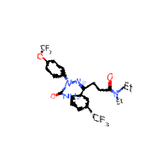 CCN(CC)C(=O)CC/C(=N/N(C(N)=O)c1ccc(OC(F)(F)F)cc1)c1cccc(C(F)(F)F)c1